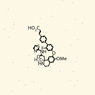 COc1cc2c(cc1Oc1ccc(-c3ccc(/C=C/C(=O)O)cc3)c(F)c1)[C@@](C)(CC(=O)Nc1nccs1)NCC2